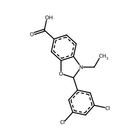 CCN1c2ccc(C(=O)O)cc2OC1c1cc(Cl)cc(Cl)c1